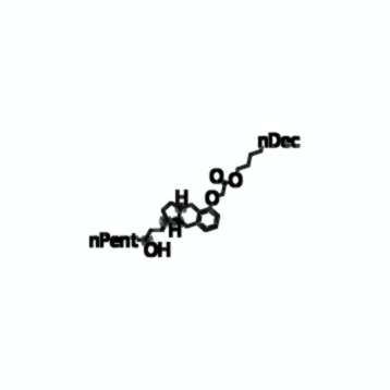 CCCCCCCCCCCCCCOC(=O)COc1cccc2c1C[C@H]1CC[C@H](CC[C@@H](O)CCCCC)[C@H]1C2